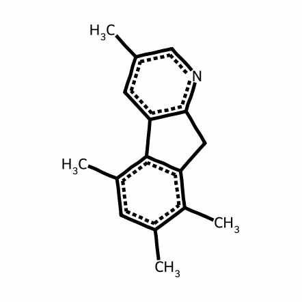 Cc1cnc2c(c1)-c1c(C)cc(C)c(C)c1C2